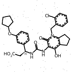 O=C(O)C[C@H](NC(=O)Nc1c(O)c2c(n(Cc3ccccc3Cl)c1=O)CCC2)c1cccc(OC2CCCC2)c1